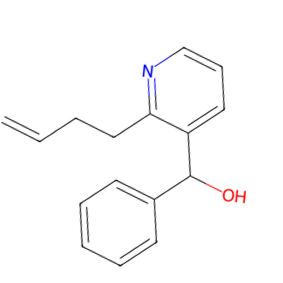 C=CCCc1ncccc1C(O)c1ccccc1